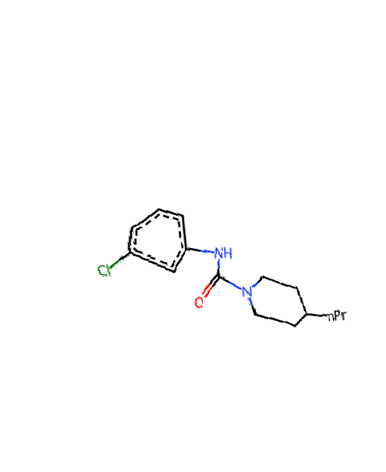 CCCC1CCN(C(=O)Nc2cccc(Cl)c2)CC1